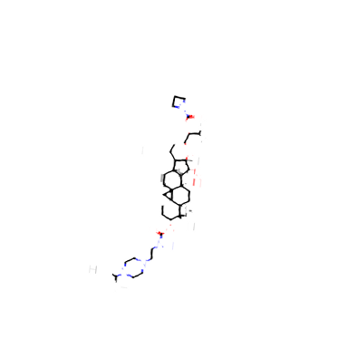 CC(C)[C@@H](OC(=O)N1CCC1)[C@H]1C[C@@H](C)[C@H]2[C@H](O1)[C@H](O)[C@@]1(C)[C@@H]3CC[C@H]4C(C)(C)[C@@H](OC(=O)NCCN5CCN(C(C)C)CC5)CC[C@@]45CC35CC[C@]21C